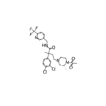 C[C@@H]1CN(CCC(C)(C(=O)NCc2ccc(C(F)(F)F)nc2)c2ccc(Cl)c(Cl)c2)CCN1S(C)(=O)=O